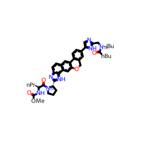 CCCCC(=O)N(Cc1ncc(-c2ccc3c(c2)COc2cc4c(ccc5nc([C@@H]6CCCN6C(=O)[C@H](CCC)NC(=O)OC)[nH]c54)cc2-3)[nH]1)[C@@H](C)CC